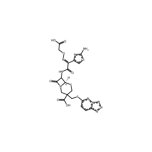 Nc1nc(C(=NOCC(=O)O)C(=O)NC2C(=O)N3CC(CSc4ccc5nnnn5n4)(C(=O)O)CS[C@H]23)cs1